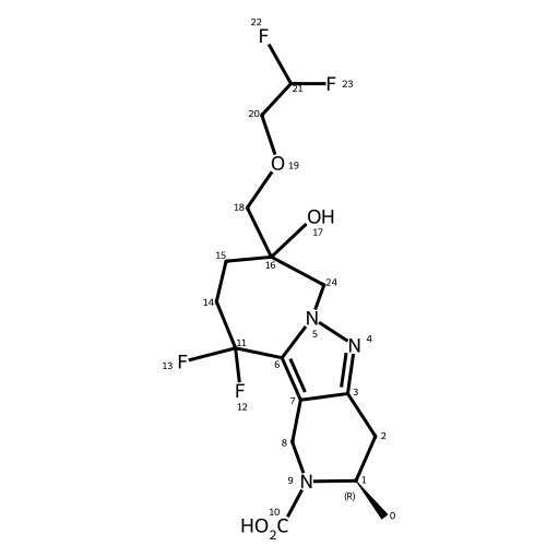 C[C@@H]1Cc2nn3c(c2CN1C(=O)O)C(F)(F)CCC(O)(COCC(F)F)C3